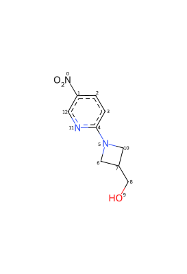 O=[N+]([O-])c1ccc(N2CC(CO)C2)nc1